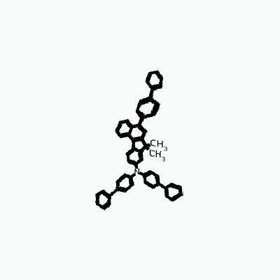 CC1(C)c2cc(N(c3ccc(-c4ccccc4)cc3)c3ccc(-c4ccccc4)cc3)ccc2-c2c1cc(-c1ccc(-c3ccccc3)cc1)c1ccccc21